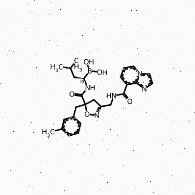 Cc1cccc(CC2(C(=O)N[C@@H](CC(C)C)B(O)O)CC(CNC(=O)c3cccn4ccnc34)=NO2)c1